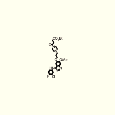 CCOC(=O)CCC(=O)N1CCN(CCCOc2cc3c(Nc4ccc(F)c(Cl)c4)ncnc3cc2OC)CC1